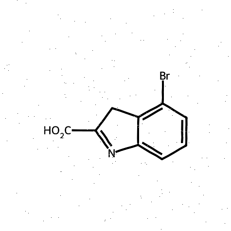 O=C(O)C1=Nc2cccc(Br)c2C1